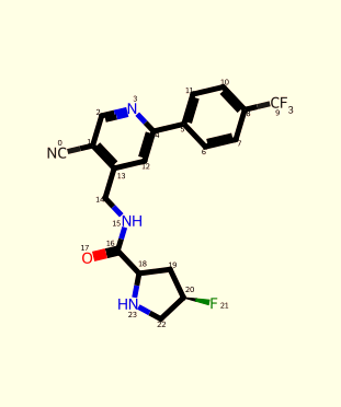 N#Cc1cnc(-c2ccc(C(F)(F)F)cc2)cc1CNC(=O)C1C[C@@H](F)CN1